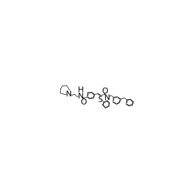 O=C(NCCCN1CCCCCC1)c1ccc(C=C2Sc3ccccc3N(Cc3cccc(Cc4ccccc4)c3)C2=O)cc1